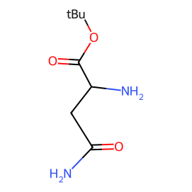 CC(C)(C)OC(=O)C(N)CC(N)=O